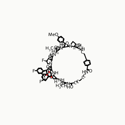 COc1ccc(C[C@@H]2NC(=O)[C@H]([C@H](C)O)NC(=O)[C@@H]3C[C@H](F)CN3C(=O)[C@H](Cc3c[nH]c4cc(F)ccc34)NC(=O)[C@H](Cc3c[nH]c4ccc(F)cc34)NC(=O)[C@@H](C)NC(=O)CCCCCNC(=O)c3ccc(cc3)CCNC(=O)[C@]3(C)CCCN3C2=O)cc1